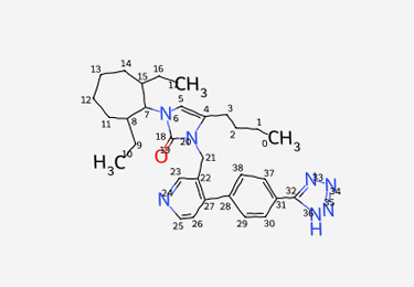 CCCCc1cn(C2C(CC)CCCCC2CC)c(=O)n1Cc1cnccc1-c1ccc(-c2nnn[nH]2)cc1